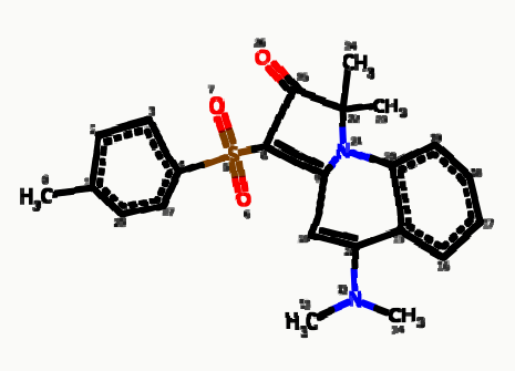 Cc1ccc(S(=O)(=O)C2=C3C=C(N(C)C)c4ccccc4N3C(C)(C)C2=O)cc1